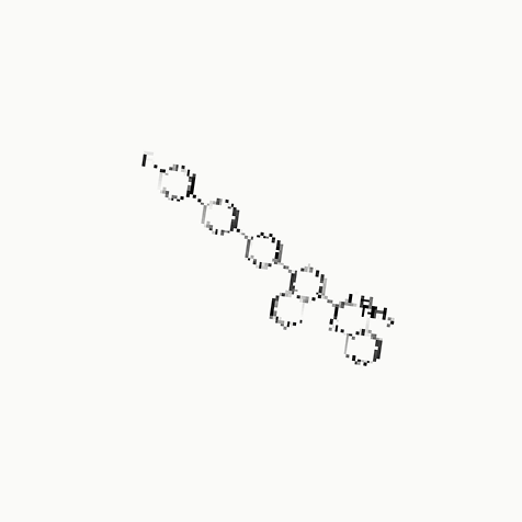 C=C(Sc1ccccc1N)c1ccc(-c2ccc(-c3ccc(-c4ccc(F)cc4)cc3)cc2)c2ccccc12